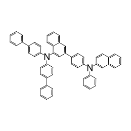 c1ccc(-c2ccc(N(c3ccc(-c4ccccc4)cc3)c3cc(-c4ccc(N(c5ccccc5)c5ccc6ccccc6c5)cc4)cc4ccccc34)cc2)cc1